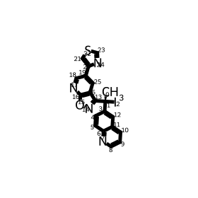 C[C@@](I)(c1ccc2ncccc2c1)c1noc2ncc(-c3cscn3)cc12